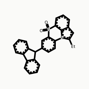 CCc1cc2cccc3c2n1-c1ccc(C2c4ccccc4-c4ccccc42)cc1S3(=O)=O